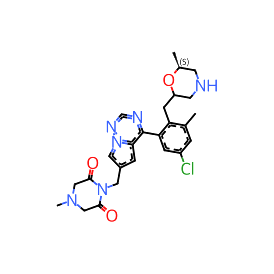 Cc1cc(Cl)cc(-c2ncnn3cc(CN4C(=O)CN(C)CC4=O)cc23)c1CC1CNC[C@H](C)O1